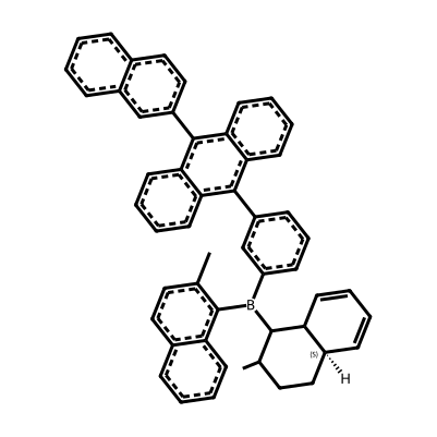 Cc1ccc2ccccc2c1B(c1cccc(-c2c3ccccc3c(-c3ccc4ccccc4c3)c3ccccc23)c1)C1C(C)CC[C@@H]2C=CC=CC12